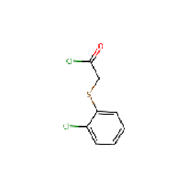 O=C(Cl)CSc1ccccc1Cl